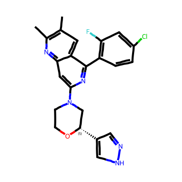 Cc1cc2c(-c3ccc(Cl)cc3F)nc(N3CCO[C@@H](c4cn[nH]c4)C3)cc2nc1C